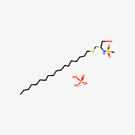 CCCCCCCCCCCCCCCCCCSC[C@H](CO)NS(C)(=O)=O.O=P(O)(O)O